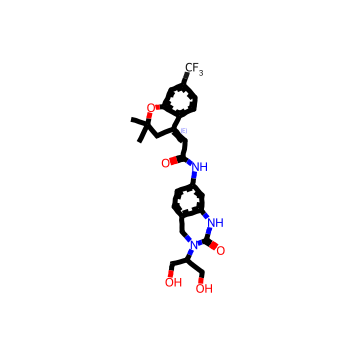 CC1(C)C/C(=C\C(=O)Nc2ccc3c(c2)NC(=O)N(C(CO)CO)C3)c2ccc(C(F)(F)F)cc2O1